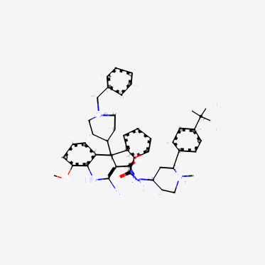 COc1cccc2c1NC(N)=C(C(=O)NC1CCN(C)C(c3ccc(C(C)(C)C)cc3)C1)C2(c1ccccc1C(N)=O)C1CCN(Cc2ccccc2)CC1